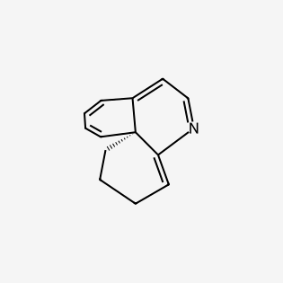 C1=CC2=CC=NC3=CCCC[C@]23C=C1